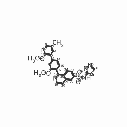 COc1cc(-c2cc(C)cnc2OC)ccc1-c1nccc2cc(S(=O)(=O)Nc3nncs3)ccc12